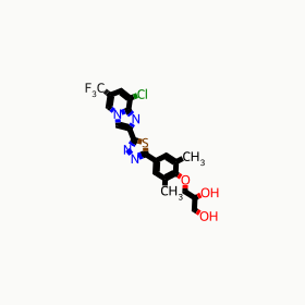 Cc1cc(-c2nnc(-c3cn4cc(C(F)(F)F)cc(Cl)c4n3)s2)cc(C)c1OCC(O)CO